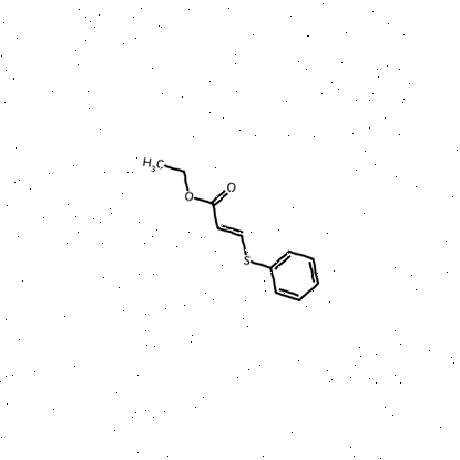 CCOC(=O)/C=C/Sc1ccccc1